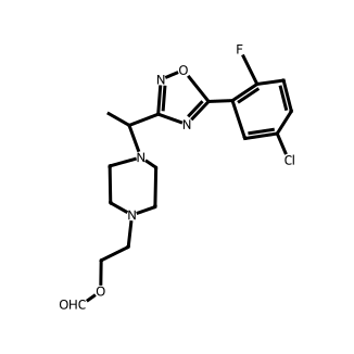 CC(c1noc(-c2cc(Cl)ccc2F)n1)N1CCN(CCOC=O)CC1